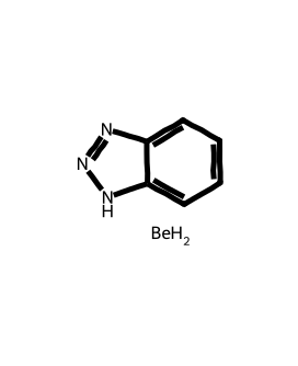 [BeH2].c1ccc2[nH]nnc2c1